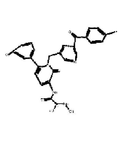 CN[C@@H](C)C(=O)Nc1ccc(-c2cccc(Cl)c2)n(Cc2cncc(C(=O)c3ccc(F)cc3)c2)c1=O